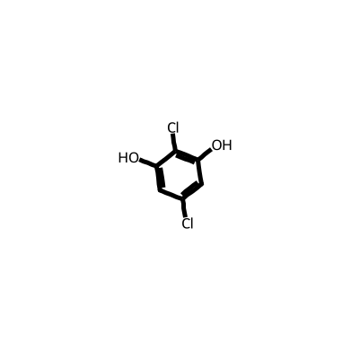 Oc1cc(Cl)cc(O)c1Cl